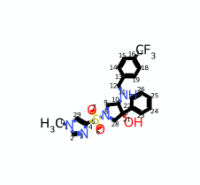 Cn1cnc(S(=O)(=O)N2CC(NCc3ccc(C(F)(F)F)cc3)C(O)(c3ccccc3)C2)c1